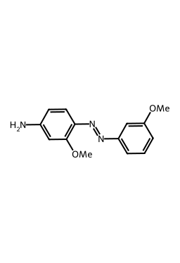 COc1cccc(N=Nc2ccc(N)cc2OC)c1